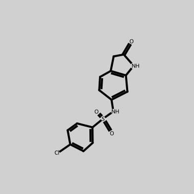 O=C1Cc2ccc(NS(=O)(=O)c3ccc(Cl)cc3)cc2N1